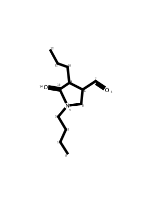 CCCCN1CC(C=O)C(CCC)C1=O